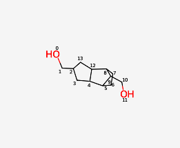 OCC1CC2C3CCC(C3CO)C2C1